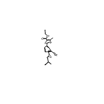 CCOC(=O)c1sc(-c2ccc(OCC(C)C)c(Br)c2)nc1C